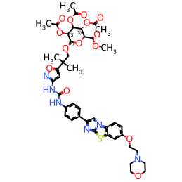 COC(=O)C1O[C@@H](OCC(C)(C)c2cc(NC(=O)Nc3ccc(-c4cn5c(n4)sc4cc(OCCN6CCOCC6)ccc45)cc3)no2)[C@@H](OC(C)=O)C(OC(C)=O)[C@@H]1OC(C)=O